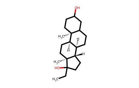 CCC1(O)CC[C@H]2[C@@H]3CCC4CC(O)CC[C@]4(C)[C@@H]3CC[C@@]21C